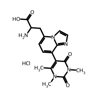 Cc1c(-c2ccc(CC(N)C(=O)O)n3ccnc23)c(=O)n(C)c(=O)n1C.Cl